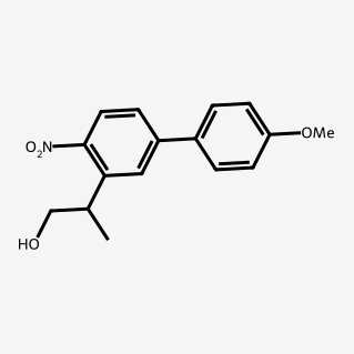 COc1ccc(-c2ccc([N+](=O)[O-])c(C(C)CO)c2)cc1